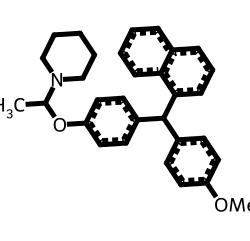 COc1ccc(C(c2ccc(OC(C)N3CCCCC3)cc2)c2cccc3ccccc23)cc1